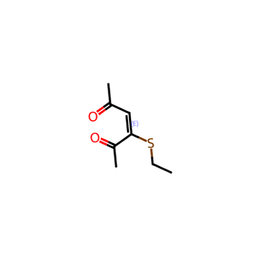 CCS/C(=C/C(C)=O)C(C)=O